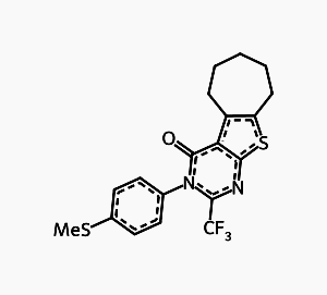 CSc1ccc(-n2c(C(F)(F)F)nc3sc4c(c3c2=O)CCCCC4)cc1